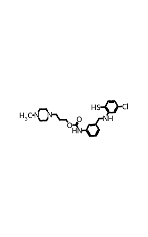 CN1CCN(CCCOC(=O)Nc2cccc(CNc3cc(Cl)ccc3S)c2)CC1